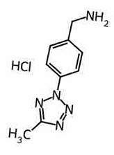 Cc1nnn(-c2ccc(CN)cc2)n1.Cl